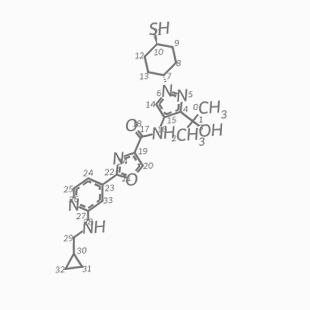 CC(C)(O)c1nn([C@H]2CC[C@H](S)CC2)cc1NC(=O)c1coc(-c2ccnc(NCC3CC3)c2)n1